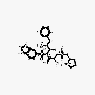 CC(CS(=O)(=O)C[C@H]1CCCN1)C(=O)N([C@H](N)[C@@H](C)Cc1ccccc1)S(=O)(=O)c1ccc2scnc2c1